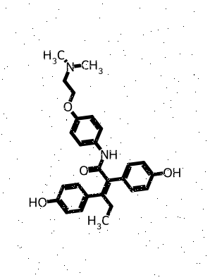 CC/C(=C(/C(=O)Nc1ccc(OCCN(C)C)cc1)c1ccc(O)cc1)c1ccc(O)cc1